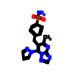 Cc1nc2ncnn2c(-n2cccn2)c1Cc1ccc(S(N)(=O)=O)cc1